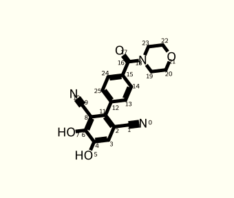 N#Cc1cc(O)c(O)c(C#N)c1-c1ccc(C(=O)N2CCOCC2)cc1